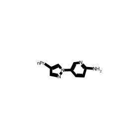 CCCc1cnn(-c2ccc(N)nc2)c1